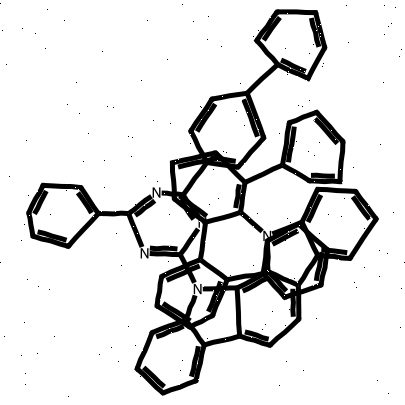 c1ccc(-c2ccc(-c3nc(-c4ccccc4)nc(-n4c5ccccc5c5ccc6c7ccccc7n(-c7c(-c8ccccc8)cccc7-c7ccccc7-c7ccccc7)c6c54)n3)cc2)cc1